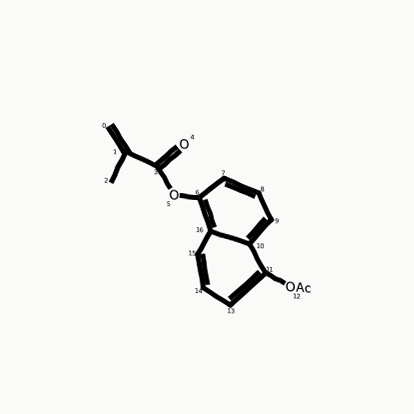 C=C(C)C(=O)Oc1cccc2c(OC(C)=O)cccc12